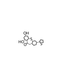 O=C1Cc2ccc(-c3cccs3)cc2Sc2cc(O)cc(O)c21